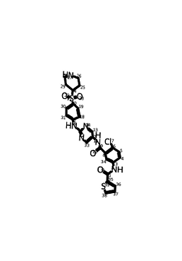 O=C(Nc1ccc(Cl)c(C(=O)Nc2cnc(Nc3ccc(S(=O)(=O)C4CCNCC4)cc3)nc2)c1)c1cccs1